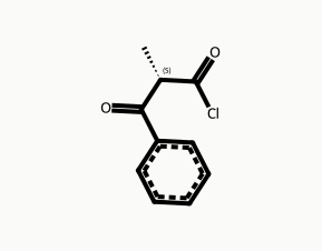 C[C@H](C(=O)Cl)C(=O)c1ccccc1